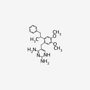 COc1cc(CC2=CNC(N)N=C2N)c(C(C)Cc2ccccc2)cc1OC